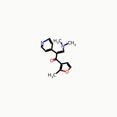 Cc1occc1C(=O)/C(=C/N(C)C)c1ccncc1